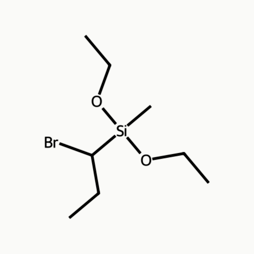 CCO[Si](C)(OCC)C(Br)CC